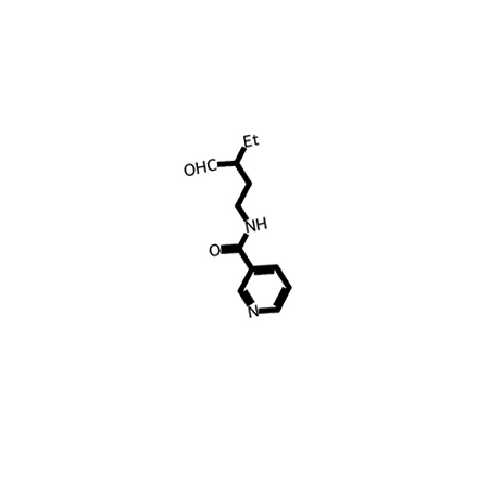 CCC(C=O)CCNC(=O)c1cccnc1